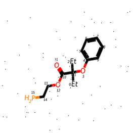 CCC(CC)(Oc1ccccc1)C(=O)OCCP